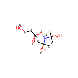 CC(C)(O)N(OC(=O)CCO)C(C)(C)O